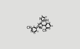 Clc1cc(-n2cc(-c3ncc[nH]3)c(-c3ccccc3Cl)n2)ccn1